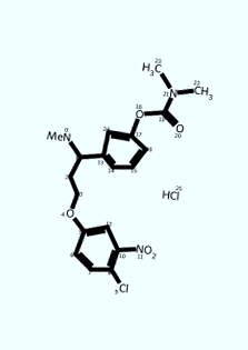 CNC(CCOc1ccc(Cl)c([N+](=O)[O-])c1)c1cccc(OC(=O)N(C)C)c1.Cl